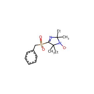 CCC1(C)N=C(S(=O)(=O)Cc2ccccc2)C(C)(CC)N1[O]